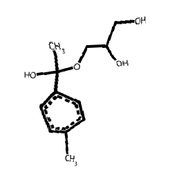 Cc1ccc(C(C)(O)OCC(O)CO)cc1